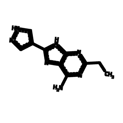 CCc1nc(N)c2nc(-c3cn[nH]c3)[nH]c2n1